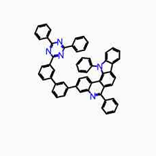 c1ccc(-c2nc(-c3ccccc3)nc(-c3cccc(-c4cccc(-c5ccc6c(c5)nc(-c5ccccc5)c5ccc7c8ccccc8n(-c8ccccc8)c7c56)c4)c3)n2)cc1